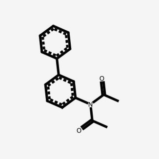 CC(=O)N(C(C)=O)c1[c]ccc(-c2ccccc2)c1